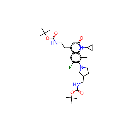 Cc1c(N2CCC(CNC(=O)OC(C)(C)C)C2)c(F)cc2c(CCNC(=O)OC(C)(C)C)cc(=O)n(C3CC3)c12